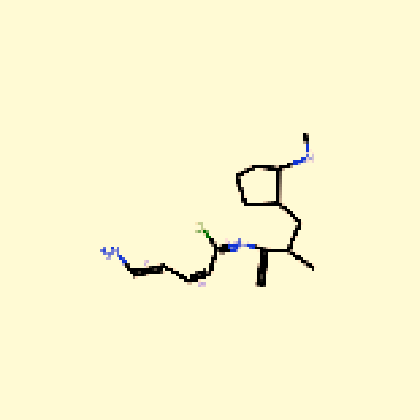 C=C(\N=C(Cl)/C=C\C=C\N)C(C)CC1CCCC1NC